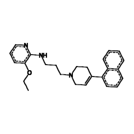 CCOc1cccnc1NCCCN1CC=C(c2cccc3ccccc23)CC1